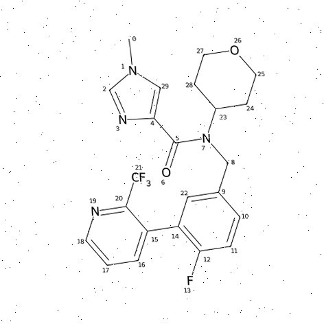 Cn1cnc(C(=O)N(Cc2ccc(F)c(-c3cccnc3C(F)(F)F)c2)C2CCOCC2)c1